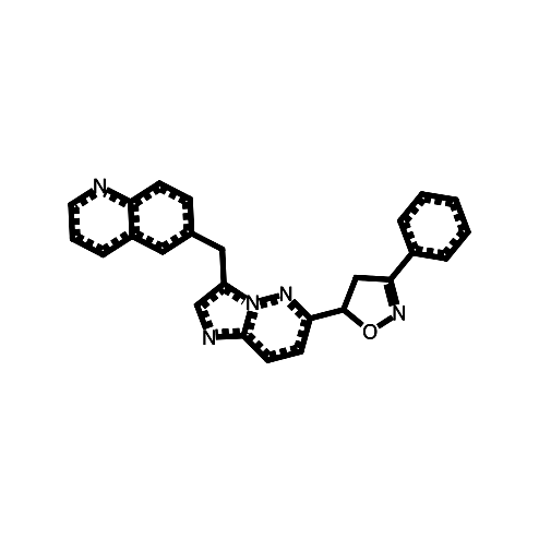 c1ccc(C2=NOC(c3ccc4ncc(Cc5ccc6ncccc6c5)n4n3)C2)cc1